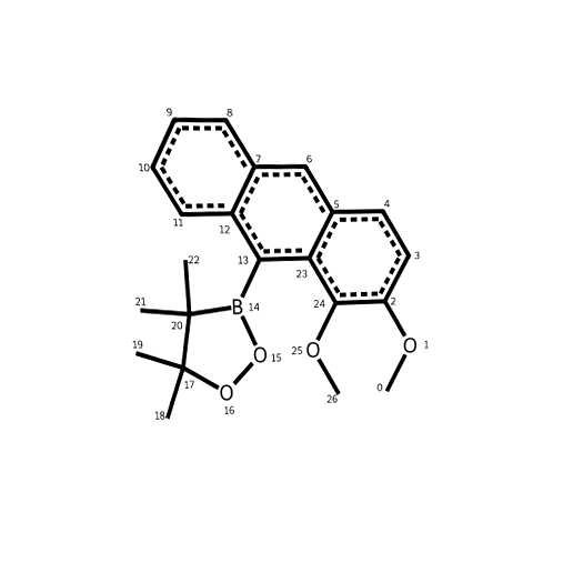 COc1ccc2cc3ccccc3c(B3OOC(C)(C)C3(C)C)c2c1OC